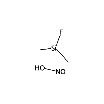 C[Si](C)F.O=NO